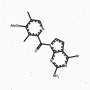 COc1c(C)cnc(C(=O)n2ccc3c(Br)nc(N)nc32)c1C